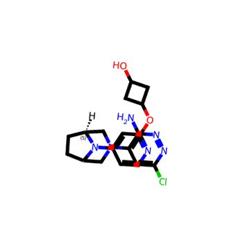 Nc1nnc(Cl)cc1N1CC2CC[C@@H](C1)N2c1ccnc(OC2CC(O)C2)c1